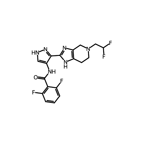 O=C(Nc1c[nH]nc1-c1nc2c([nH]1)CCN(CC(F)F)C2)c1c(F)cccc1F